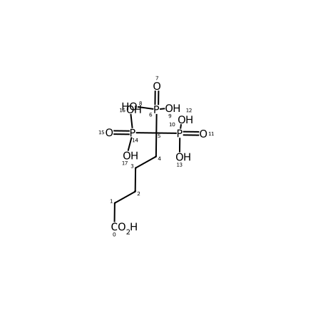 O=C(O)CCCCC(P(=O)(O)O)(P(=O)(O)O)P(=O)(O)O